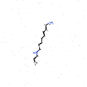 N#CCCNCCCCCCCCN